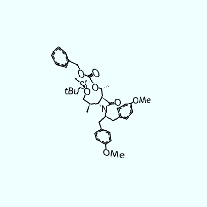 COc1ccc(CC(Cc2ccc(OC)cc2)N2C(=O)[C@H]([C@@H](C)OC(=O)OCc3ccccc3)[C@H]2[C@@H](C)CO[Si](C)(C)C(C)(C)C)cc1